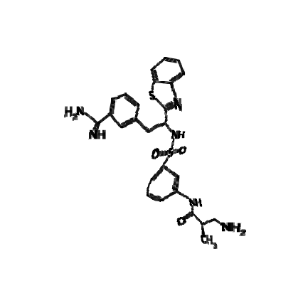 C[C@H](CN)C(=O)Nc1cccc(S(=O)(=O)NC(Cc2cccc(C(=N)N)c2)c2nc3ccccc3s2)c1